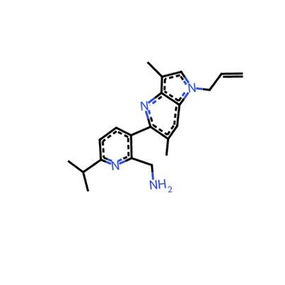 C=CCn1cc(C)c2nc(-c3ccc(C(C)C)nc3CN)c(C)cc21